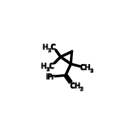 C=C(C(C)C)C1(C)CC1(C)C